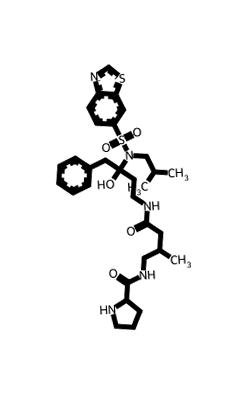 CC(C)CN(C(O)(CCNC(=O)CC(C)CNC(=O)C1CCCN1)Cc1ccccc1)S(=O)(=O)c1ccc2ncsc2c1